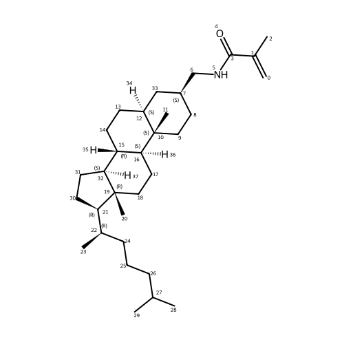 C=C(C)C(=O)NC[C@H]1CC[C@@]2(C)[C@@H](CC[C@@H]3[C@@H]2CC[C@]2(C)[C@@H]([C@H](C)CCCC(C)C)CC[C@@H]32)C1